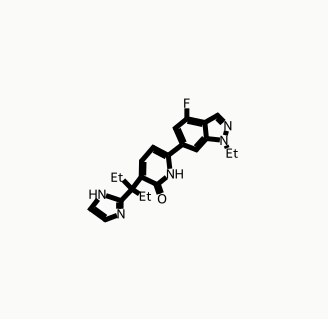 CCn1ncc2c(F)cc(-c3ccc(C(CC)(CC)c4ncc[nH]4)c(=O)[nH]3)cc21